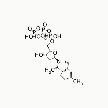 C=C1c2ccc(C)cc2C=CN1[C@H]1C[C@@H](O)[C@@H](COP(=O)(O)OP(=O)(O)OP(=O)(O)O)O1